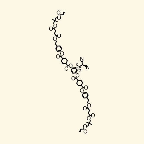 C=CC(=O)OCC(C)(C)COC(=O)CCC(=O)OCCc1ccc(OC(=O)C2CCC(C(=O)Oc3ccc(OC(=O)C4CCC(C(=O)Oc5ccc(CCOC(=O)CCC(=O)OCC(C)(C)COC(=O)C=C)cc5)CC4)c4c3SC(C(C#N)C#N)S4)CC2)cc1